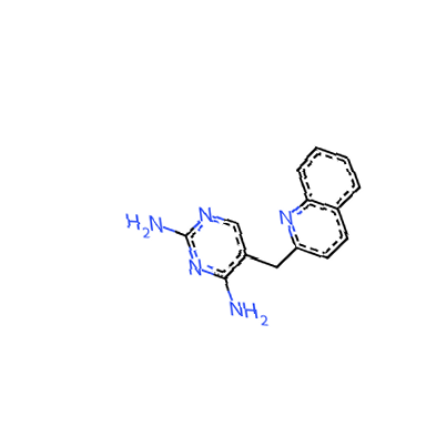 Nc1ncc(Cc2ccc3ccccc3n2)c(N)n1